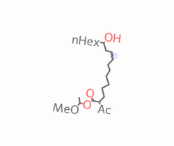 CCCCCCC(O)C/C=C\CCCCCCC(C(C)=O)C(=O)OC(C)OC